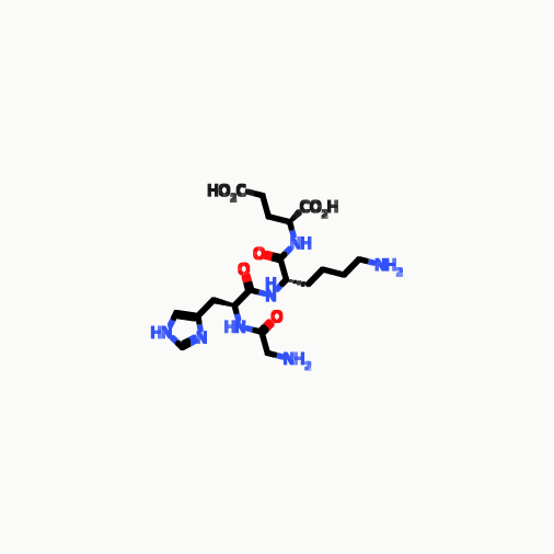 NCCCC[C@H](NC(=O)[C@H](Cc1c[nH]cn1)NC(=O)CN)C(=O)N[C@@H](CCC(=O)O)C(=O)O